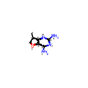 Cc1coc2c(N)nc(N)nc12